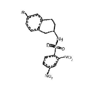 O=[N+]([O-])c1ccc(S(=O)(=O)NC2CCc3cc(Br)ccc3C2)c([N+](=O)[O-])c1